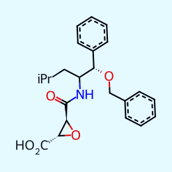 CC(C)CC(NC(=O)[C@H]1O[C@@H]1C(=O)O)[C@@H](OCc1ccccc1)c1ccccc1